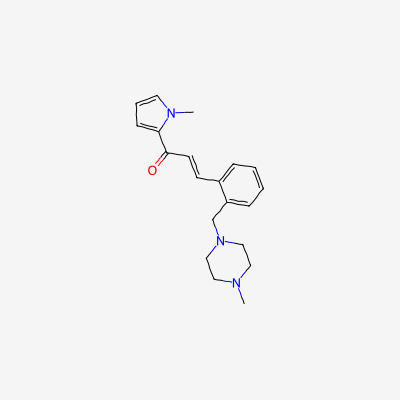 CN1CCN(Cc2ccccc2/C=C/C(=O)c2cccn2C)CC1